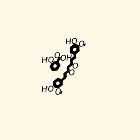 COc1cc(/C=C/C(=O)CC(=O)/C=C/c2ccc(O)c(OC)c2)ccc1O.O=C(O)c1ccccc1O